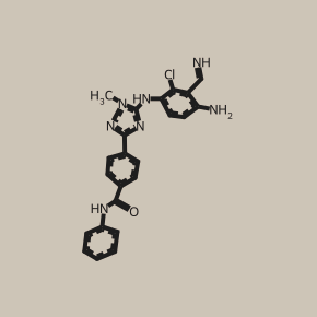 Cn1nc(-c2ccc(C(=O)Nc3ccccc3)cc2)nc1Nc1ccc(N)c(C=N)c1Cl